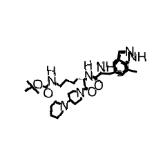 Cc1cc(C[C@@H](N)C(=O)N[C@@H](CCCCNC(=O)OC(C)(C)C)C(=O)N2CCC(N3CCCCC3)CC2)cc2cn[nH]c12